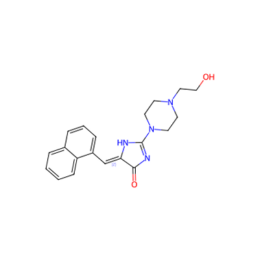 O=C1N=C(N2CCN(CCO)CC2)N/C1=C\c1cccc2ccccc12